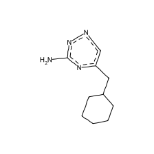 Nc1nncc(CC2CCCCC2)n1